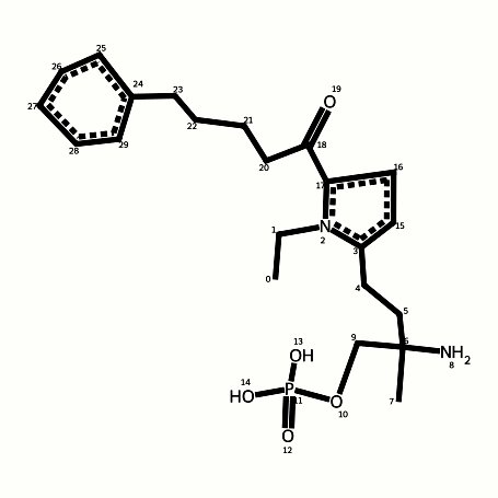 CCn1c(CCC(C)(N)COP(=O)(O)O)ccc1C(=O)CCCCc1ccccc1